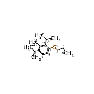 CCCSc1ccc(C(C)C)c(C)c1C(C)C